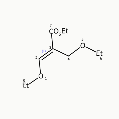 CCO/C=C(\COCC)C(=O)OCC